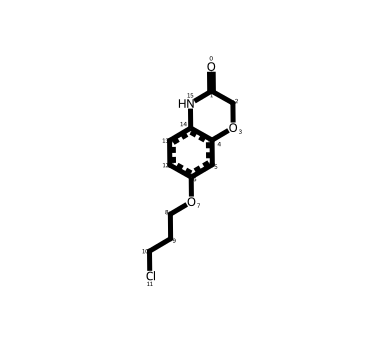 O=C1COc2cc(OCCCCl)ccc2N1